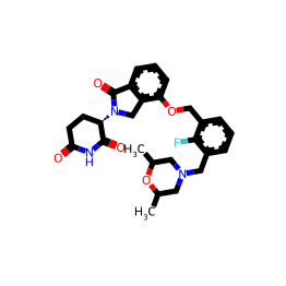 CC1CN(Cc2cccc(COc3cccc4c3CN([C@H]3CCC(=O)NC3=O)C4=O)c2F)CC(C)O1